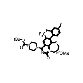 CO[C@H]1CSc2c(-c3ccc(F)cc3F)c(C(F)(F)F)cc3c(N4CCN(C(=O)OC(C)(C)C)CC4)nc(=O)n(c23)C1